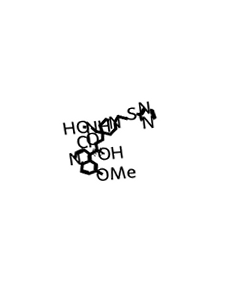 COc1ccc2ncc(Cl)c([C@H](O)CCC3(C(=O)NO)CCN(CCSc4cnccn4)CC3)c2c1